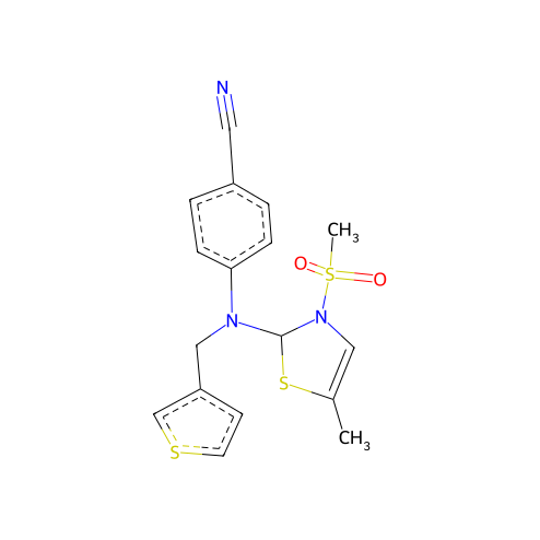 CC1=CN(S(C)(=O)=O)C(N(Cc2ccsc2)c2ccc(C#N)cc2)S1